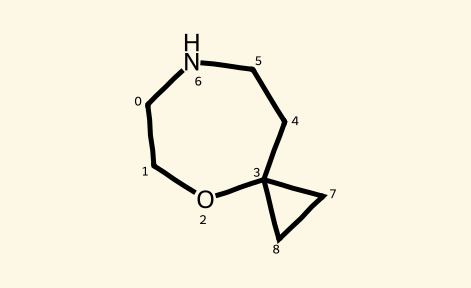 C1COC2(CCN1)CC2